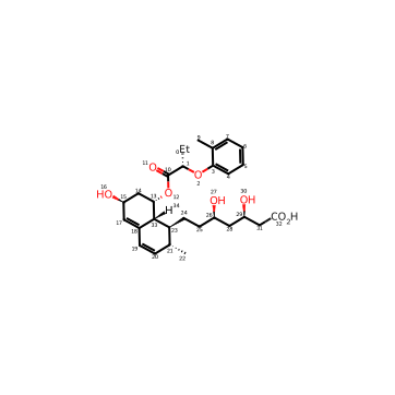 CC[C@H](Oc1ccccc1C)C(=O)O[C@H]1C[C@H](O)C=C2C=C[C@@H](C)[C@H](CC[C@@H](O)C[C@@H](O)CC(=O)O)[C@H]21